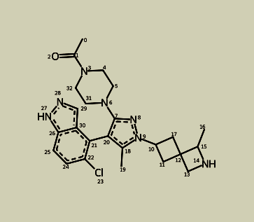 CC(=O)N1CCN(c2nn(C3CC4(CNC4C)C3)c(C)c2-c2c(Cl)ccc3[nH]ncc23)CC1